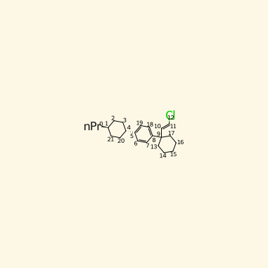 CCC[C@H]1CC[C@H](c2ccc(C3(/C=C/Cl)CCCCC3)cc2)CC1